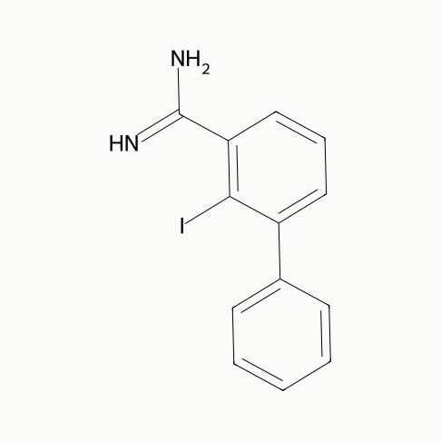 N=C(N)c1cccc(-c2ccccc2)c1I